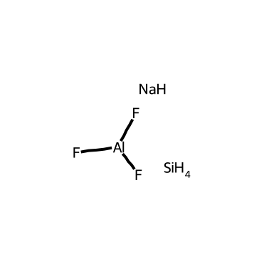 [F][Al]([F])[F].[NaH].[SiH4]